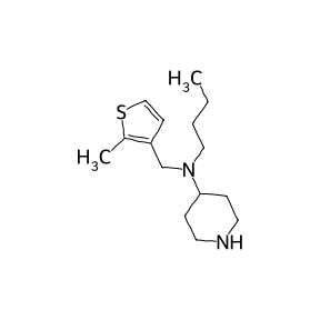 CCCCN(Cc1ccsc1C)C1CCNCC1